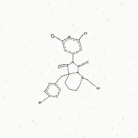 CC(=O)CN1CCCC2(Cc3ccc(Br)cc3)C(=O)N(c3cc(Cl)nc(Cl)c3)C(=O)N12